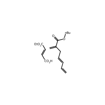 C=CC=CCC(=C)C(=O)OCCCC.CCOC(=O)C=CC(=O)O